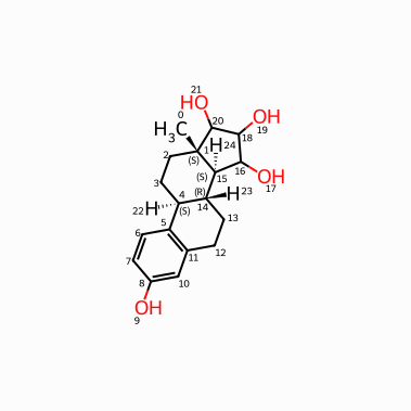 C[C@]12CC[C@@H]3c4ccc(O)cc4CC[C@H]3[C@@H]1C(O)C(O)C2O